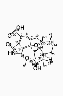 CO[C@@H]1C[C@@]23Oc4c(cc(C(=O)O)c5c4CNC5=O)C[C@]2(C)[C@@H](C)CC[C@H]3C(C)(C)[C@H]1O